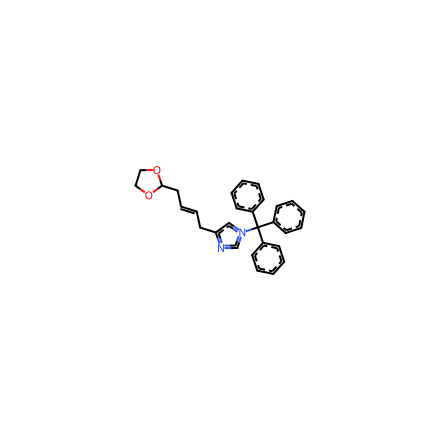 C(=CCC1OCCO1)Cc1cn(C(c2ccccc2)(c2ccccc2)c2ccccc2)cn1